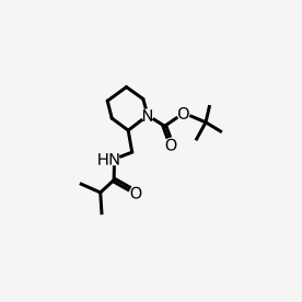 CC(C)C(=O)NCC1CCCCN1C(=O)OC(C)(C)C